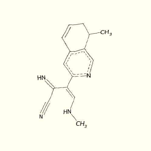 CN/C=C(\C(=N)C#N)c1cc2c(cn1)C(C)CC=C2